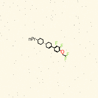 CCC[C@H]1CC[C@H](C2CC=C(c3ccc(OCC(F)F)c(F)c3F)CC2)CC1